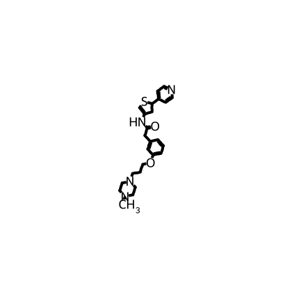 CN1CCN(CCCOc2cccc(CC(=O)NC3=CSC(c4ccncc4)C3)c2)CC1